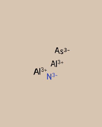 [Al+3].[Al+3].[As-3].[N-3]